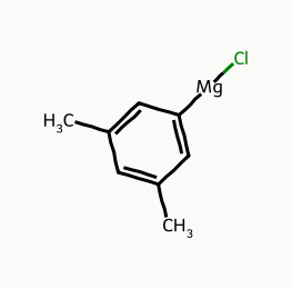 Cc1cc(C)c[c]([Mg][Cl])c1